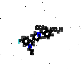 C=CCn1cc(C2CCN(Cc3cccc(C(=O)O)c3OC)CC2)c2ccc(F)cc21